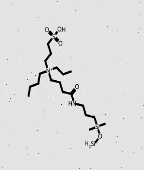 CCCC[N+](CCC)(CCCC(=O)NCCC[Si](C)(C)O[SiH3])CCCS(=O)(=O)O